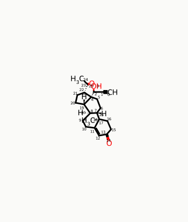 C#CC(O)[C@]12CC[C@H]3[C@@H](CCC4=CC(=O)CC[C@@]43C)[C@@H]1CC[C@@H]2C(C)=O